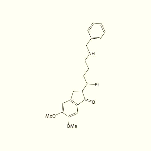 CCC(CCCNCc1ccccc1)C1Cc2cc(OC)c(OC)cc2C1=O